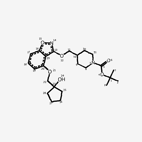 CC(C)(C)OC(=O)N1CCC(COc2noc3cccc(OCC4(O)CCCC4)c23)CC1